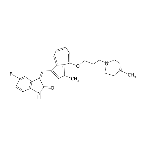 Cc1cc(/C=C2\C(=O)Nc3ccc(F)cc32)c2ccccc(OCCCN3CCN(C)CC3)c1-2